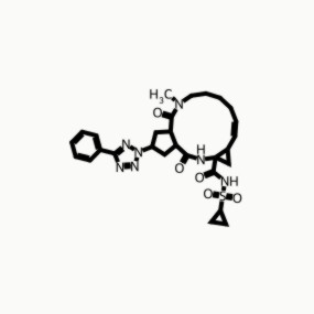 CN1CCCCC=CC2CC2(C(=O)NS(=O)(=O)C2CC2)NC(=O)C2CC(n3nnc(-c4ccccc4)n3)CC2C1=O